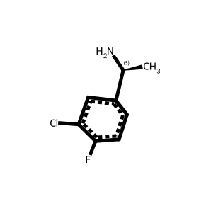 C[C@H](N)c1ccc(F)c(Cl)c1